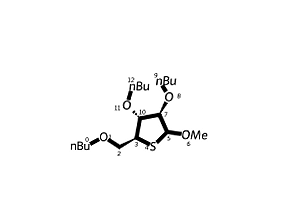 CCCCOC[C@@H]1SC(OC)[C@H](OCCCC)[C@H]1OCCCC